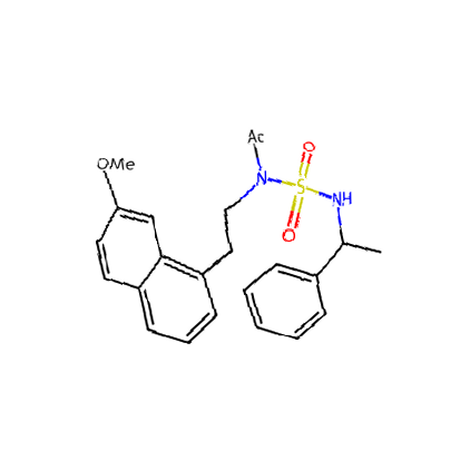 COc1ccc2cccc(CCN(C(C)=O)S(=O)(=O)NC(C)c3ccccc3)c2c1